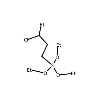 CCO[Si](CCC(Cl)CC)(OCC)OCC